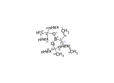 C=C/C=C(\C=C)B(OC(C)(CCCCCC)CCCCCC)OC(C)(CCCCCC)CCCCCC